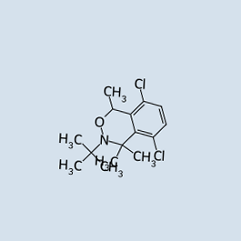 CC1ON(C(C)(C)C)C(C)(C)c2c(Cl)ccc(Cl)c21